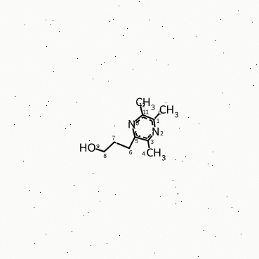 Cc1nc(C)c(CCCO)nc1C